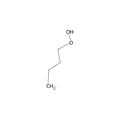 [CH2]CCCOO